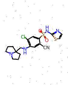 N#Cc1cc(NCC23CCCN2CCC3)c(Cl)cc1S(=O)(=O)Nc1nccs1